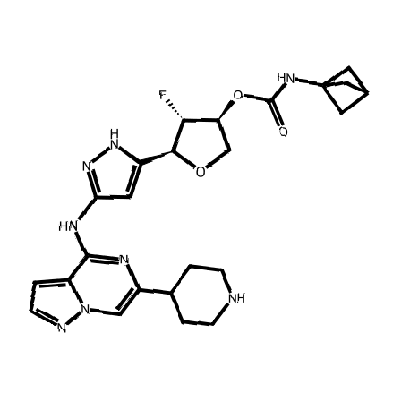 O=C(NC12CC(C1)C2)O[C@H]1CO[C@@H](c2cc(Nc3nc(C4CCNCC4)cn4nccc34)n[nH]2)[C@@H]1F